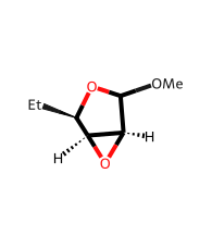 CC[C@H]1OC(OC)[C@H]2O[C@H]21